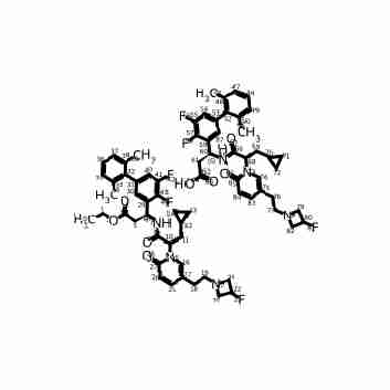 CCOC(=O)C[C@H](NC(=O)C(CC1CC1)n1cc(CCN2CC(F)C2)ccc1=O)c1cc(-c2c(C)cccc2C)cc(F)c1F.Cc1cccc(C)c1-c1cc(F)c(F)c([C@H](CC(=O)O)NC(=O)C(CC2CC2)n2cc(CCN3CC(F)C3)ccc2=O)c1